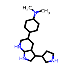 CN(C)C1CCC(C2CNC3NCC(C4CCNC4)C3C2)CC1